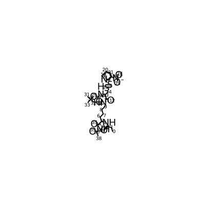 CCC(=O)NC(CCCCNC(=O)C(CSSc1ncccc1[N+](=O)[O-])NC(=O)OC(C)(C)C)C(=O)NC(C)=O